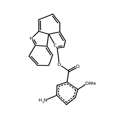 COc1ccc(N)cc1C(=O)OC1=CC=C2C=CC=C3N=C4C=CCC=C4C23C1